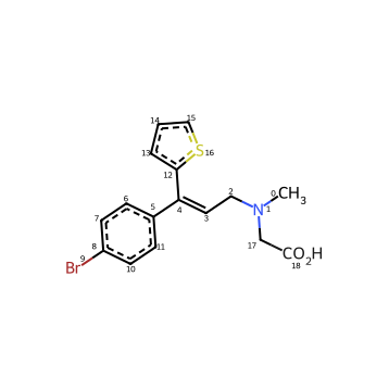 CN(CC=C(c1ccc(Br)cc1)c1cccs1)CC(=O)O